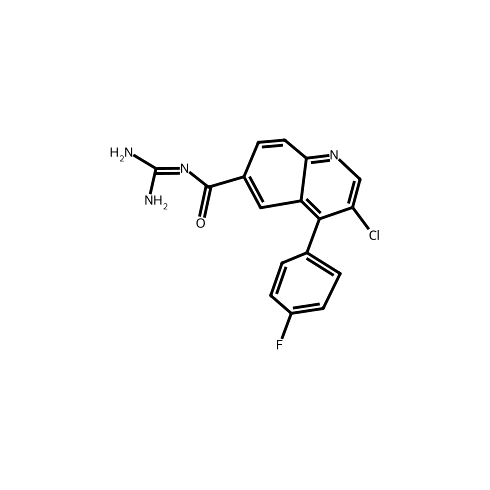 NC(N)=NC(=O)c1ccc2ncc(Cl)c(-c3ccc(F)cc3)c2c1